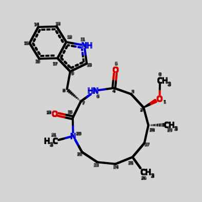 CO[C@@H]1CC(=O)N[C@@H](Cc2c[nH]c3ccccc23)C(=O)N(C)CCCC(C)C[C@H]1C